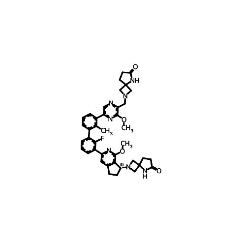 COc1nc(-c2cccc(-c3cccc(-c4cc5c(c(OC)n4)[C@@H](N4CC6(CCC(=O)N6)C4)CC5)c3F)c2C)cnc1CN1CC2(CCC(=O)N2)C1